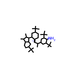 CC(/C=C1\CCC(C(C)(C)C)CC1C1C(C)C(C)C2CCC(C(C)(C)C)CC21)C1CC(C(C)(C)C)C(N)C(C(C)(C)C)C1